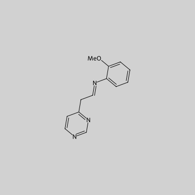 COc1ccccc1N=CCc1ccncn1